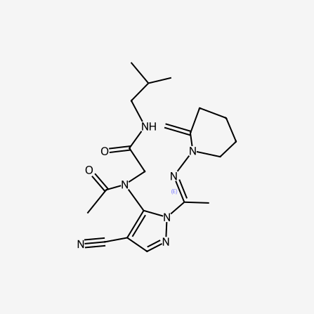 C=C1CCCCN1/N=C(\C)n1ncc(C#N)c1N(CC(=O)NCC(C)C)C(C)=O